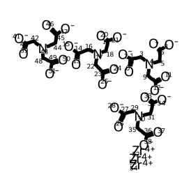 O=C([O-])CN(CC(=O)[O-])CC(=O)[O-].O=C([O-])CN(CC(=O)[O-])CC(=O)[O-].O=C([O-])CN(CC(=O)[O-])CC(=O)[O-].O=C([O-])CN(CC(=O)[O-])CC(=O)[O-].[Zr+4].[Zr+4].[Zr+4]